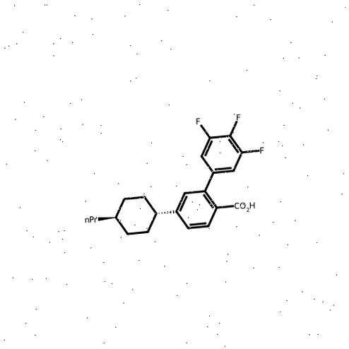 CCC[C@H]1CC[C@H](c2ccc(C(=O)O)c(-c3cc(F)c(F)c(F)c3)c2)CC1